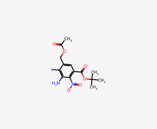 CC(=O)OCc1cc(C(=O)OC(C)(C)C)c([N+](=O)[O-])c(N)c1I